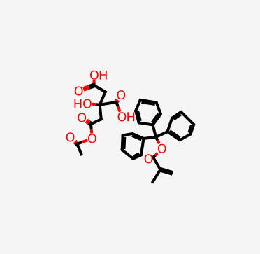 C=C(C)C(=O)OC(c1ccccc1)(c1ccccc1)c1ccccc1.CC(=O)OC(=O)CC(O)(CC(=O)O)C(=O)O